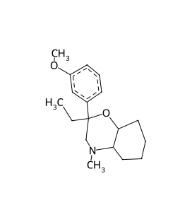 CCC1(c2cccc(OC)c2)CN(C)C2CCCCC2O1